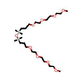 COCCOCCOCCOCCC[Si](C)(C)O[Si](C)(C)CCCOCCOCCOCCOC